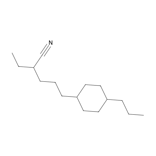 CCCC1CCC(CCCC(C#N)CC)CC1